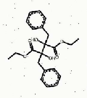 CCOC(=O)C(O)(Cc1ccccc1)C(O)(Cc1ccccc1)C(=O)OCC